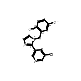 Clc1cncc(-c2nccn2Cc2cc(Cl)ccc2Cl)c1